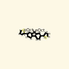 CCCCCCCCC1(CCCCCCCC)c2cc(-c3cccs3)ccc2-c2ccc(-c3cccs3)cc21